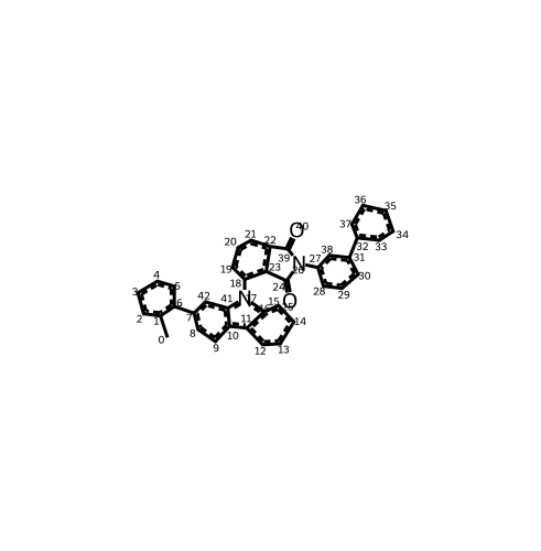 Cc1ccccc1-c1ccc2c3ccccc3n(-c3cccc4c3C(=O)N(c3cccc(-c5ccccc5)c3)C4=O)c2c1